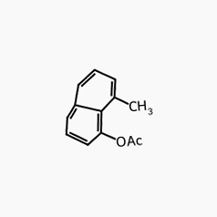 CC(=O)Oc1cccc2cccc(C)c12